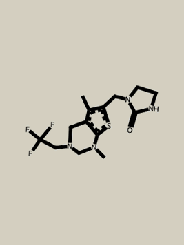 Cc1c(CN2CCNC2=O)sc2c1CN(CC(F)(F)F)CN2C